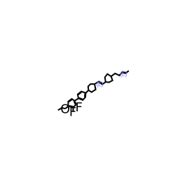 C/C=C/CCC1CCC(/C=C/C2CCC(c3ccc(-c4ccc(OCC)c(F)c4F)cc3)CC2)CC1